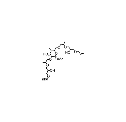 C=CCOCC(O)COC(C)COCC1O[C@@H](OC)C(OCC(C)OCC(O)COCCCC)[C@H](O)C1C